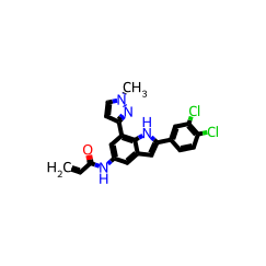 C=CC(=O)Nc1cc(-c2ccn(C)n2)c2[nH]c(-c3ccc(Cl)c(Cl)c3)cc2c1